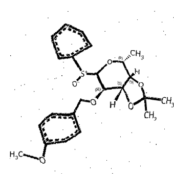 COc1ccc(CO[C@H]2C([S+]([O-])c3ccccc3)O[C@H](C)[C@@H]3OC(C)(C)O[C@@H]32)cc1